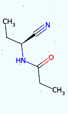 CCC(=O)N[C@H](C#N)CC